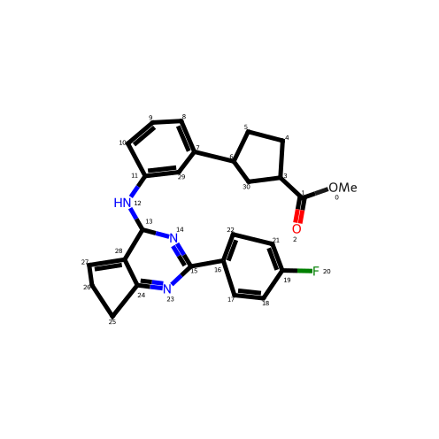 COC(=O)C1CCC(c2cccc(NC3N=C(c4ccc(F)cc4)N=C4CCC=C43)c2)C1